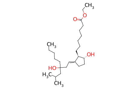 CCCCCC(O)(CC=C1CC[C@@H](O)[C@@H]1CCCCCCC(=O)OCC)CC(C)C